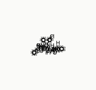 CC(C)[C@@H](NC(=O)C(NCc1ccc(Cl)cc1)[C@H](O)[C@H](Cc1ccccc1)NN(C(=O)OCc1ccccc1)[C@H](C(=O)O)C(C)(C)C)C(=O)N(C)c1nc2ccccc2[nH]1